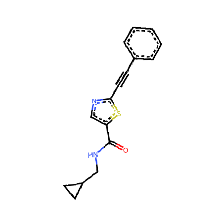 O=C(NCC1CC1)c1cnc(C#Cc2ccccc2)s1